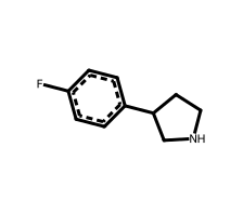 Fc1ccc(C2CCNC2)cc1